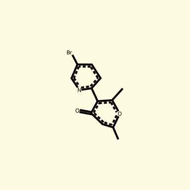 Cc1cc(=O)c(-c2ccc(Br)cn2)c(C)o1